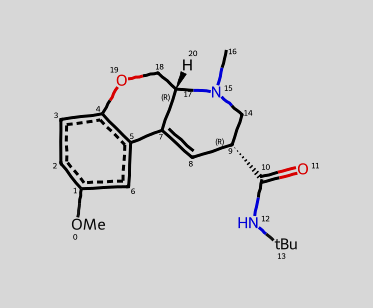 COc1ccc2c(c1)C1=C[C@@H](C(=O)NC(C)(C)C)CN(C)[C@H]1CO2